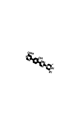 COc1cc(-c2ccc(-c3cnc(N4C[C@@H](C(C)C)N[C@@H](C)C4)nn3)c(O)c2)ncn1